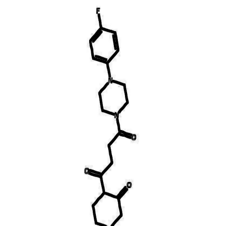 O=C1CCCCC1C(=O)CCC(=O)N1CCN(c2ccc(F)cc2)CC1